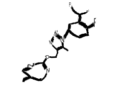 Cc1cnc(OCc2nnn(-c3ccc(F)c(C(F)F)c3)c2C)nc1